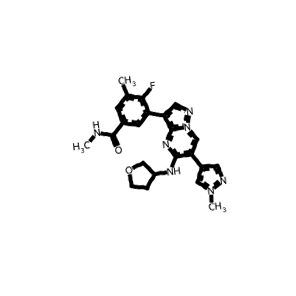 CNC(=O)c1cc(C)c(F)c(-c2cnn3cc(-c4cnn(C)c4)c(NC4CCOC4)nc23)c1